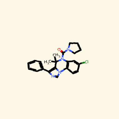 CC1(C)c2c(-c3ccccc3)ncn2-c2ccc(Cl)cc2N1C(=O)N1CCCC1